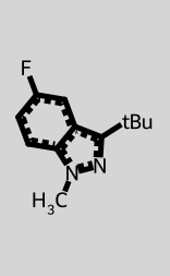 Cn1nc(C(C)(C)C)c2cc(F)ccc21